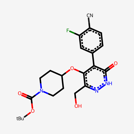 CC(C)(C)OC(=O)N1CCC(Oc2c(CO)n[nH]c(=O)c2-c2ccc(C#N)c(F)c2)CC1